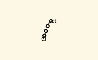 CCOCC[C@H]1CC[C@H](c2ccc(-c3ccc(Cl)cc3)cc2)CC1